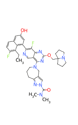 CCc1c(F)ccc2cc(O)cc(-c3ncc4c(N5CCCc6nn(C(=O)N(C)C)cc6C5)nc(OCC56CCCN5CCC6)nc4c3F)c12